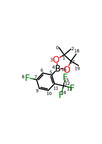 CC1(C)OB(c2cc(F)ccc2C(F)(F)F)OC1(C)C